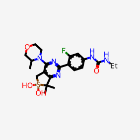 CCNC(=O)Nc1ccc(-c2nc(N3CCOCC3C)c3c(n2)C(C)(C)S(O)(O)C3)c(F)c1